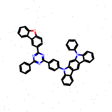 c1ccc(-c2nc(-c3ccc(-n4c5ccccc5c5cc6c7ccccc7n(-c7ccccc7)c6cc54)cc3)nc(-c3ccc4oc5ccccc5c4c3)n2)cc1